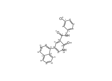 O=C(Nc1cccc(Cl)c1)c1cc(-c2cncc3ccccc23)c[nH]c1=O